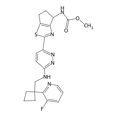 COC(=O)NC1CCc2sc(-c3ccc(NCC4(c5ncccc5F)CCC4)nn3)nc21